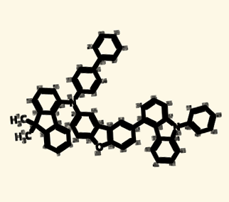 CC1(C)c2ccccc2-c2c(N(c3ccc(-c4ccccc4)cc3)c3ccc4oc5ccc(-c6cccc7c6c6ccccc6n7-c6ccccc6)cc5c4c3)cccc21